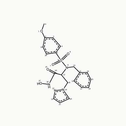 COc1ccc(S(=O)(=O)N(Cc2ccccc2)C(Cn2cccn2)C(=O)NO)cc1